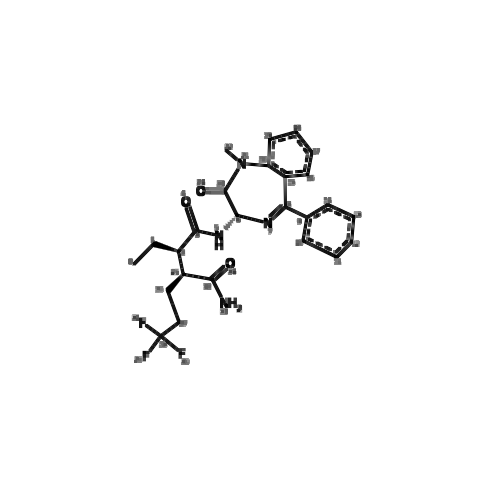 CC[C@@H](C(=O)N[C@H]1N=C(c2ccccc2)c2ccccc2N(C)C1=O)[C@H](CCC(F)(F)F)C(N)=O